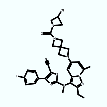 CCc1nn2c(C)cc(N3CC4(CN(C(=O)N5CC(O)C5)C4)C3)cc2c1N(C)c1nc(-c2ccc(F)cc2)c(C#N)s1